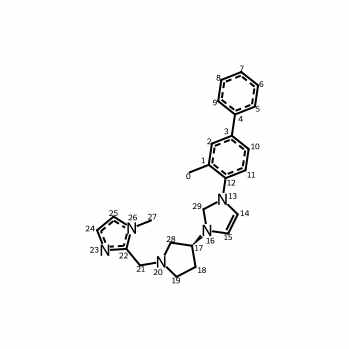 Cc1cc(-c2ccccc2)ccc1N1C=CN([C@H]2CCN(Cc3nccn3C)C2)C1